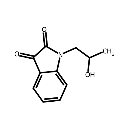 CC(O)CN1C(=O)C(=O)c2ccccc21